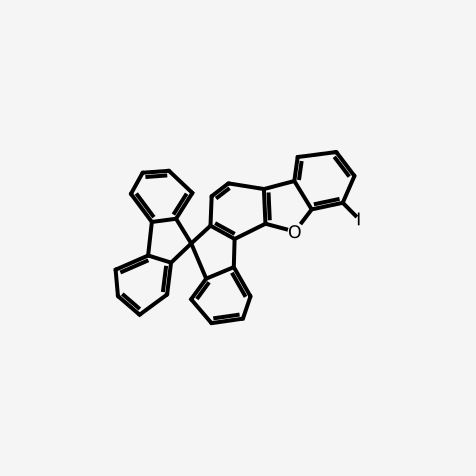 Ic1cccc2c1oc1c3c(ccc12)C1(c2ccccc2-c2ccccc21)c1ccccc1-3